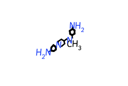 CN(Cc1ccc(N)cc1)CC1CCN(c2ccc(N)cc2)CC1